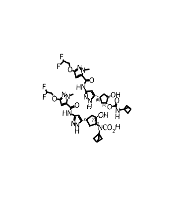 Cn1nc(OCC(F)F)cc1C(=O)Nc1cc([C@@H]2C[C@@H](O)[C@@H](N(C(=O)O)C34CC(C3)C4)C2)[nH]n1.Cn1nc(OCC(F)F)cc1C(=O)Nc1cc([C@@H]2C[C@H](O)[C@H](OC(=O)NC34CC(C3)C4)C2)[nH]n1